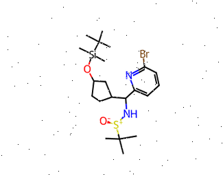 CC(C)(C)[S@@+]([O-])NC(c1cccc(Br)n1)C1CCC(O[Si](C)(C)C(C)(C)C)C1